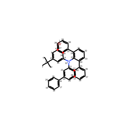 CC(C)(C)c1cc(Br)cc(N(c2cccc(-c3ccccc3)c2)c2c(-c3ccccc3)cccc2-c2ccccc2)c1